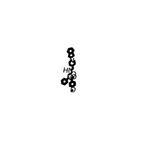 COc1ccc(C(=O)N(CC(=O)NCC2CCN(C3Cc4ccccc4C3)CC2)c2ccccc2)cc1